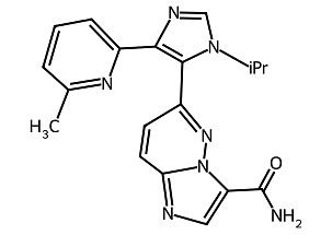 Cc1cccc(-c2ncn(C(C)C)c2-c2ccc3ncc(C(N)=O)n3n2)n1